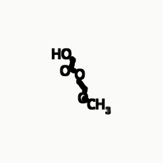 COCCOC(=O)CO